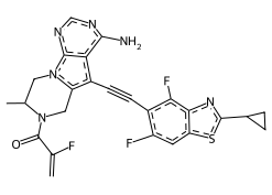 C=C(F)C(=O)N1Cc2c(C#Cc3c(F)cc4sc(C5CC5)nc4c3F)c3c(N)ncnc3n2CC1C